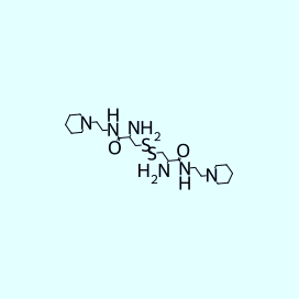 NC(CSSCC(N)C(=O)NCCN1CCCCC1)C(=O)NCCN1CCCCC1